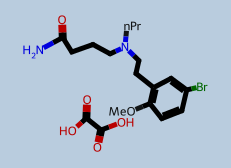 CCCN(CCCC(N)=O)CCc1cc(Br)ccc1OC.O=C(O)C(=O)O